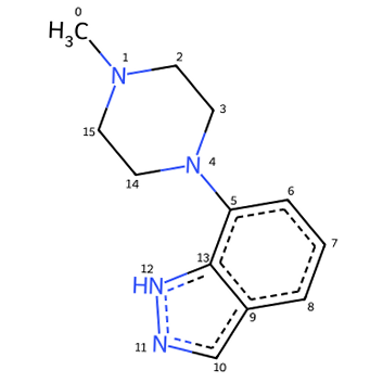 CN1CCN(c2cccc3cn[nH]c23)CC1